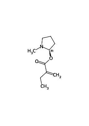 C=C(CC)C(=O)O[C@@H]1CCCN1C